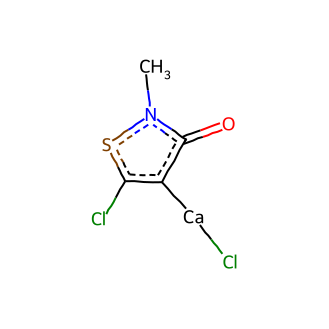 Cn1sc(Cl)[c]([Ca][Cl])c1=O